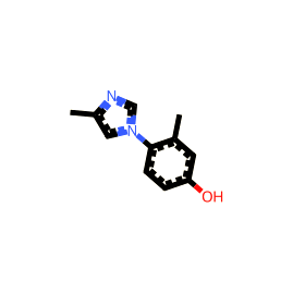 Cc1cn(-c2ccc(O)cc2C)cn1